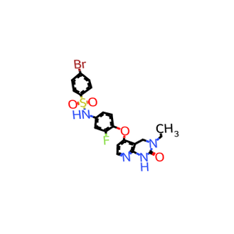 CCN1Cc2c(Oc3ccc(NS(=O)(=O)c4ccc(Br)cc4)cc3F)ccnc2NC1=O